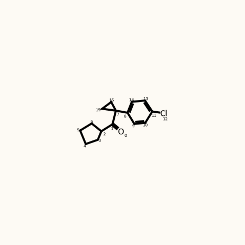 O=C(C1CCCC1)C1(c2ccc(Cl)cc2)CC1